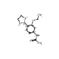 CCOc1cc(NC(C)=O)ccc1C1OCCO1